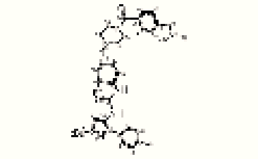 Cc1ccc(-n2nc(C(C)(C)C)cc2NC(=O)Nc2ccc(CN3CCN(C(=O)c4ccc(CN(C)C)cc4)CC3)cc2F)cc1